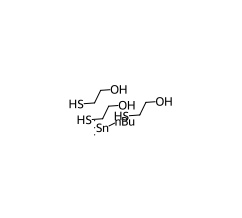 CCC[CH2][Sn].OCCS.OCCS.OCCS